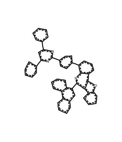 c1ccc(-c2cc(-c3ccccc3)nc(-c3ccc(-c4cccc5c4nc(-c4cc6ccccc6c6ccccc46)c4c6ccccc6oc54)cc3)n2)cc1